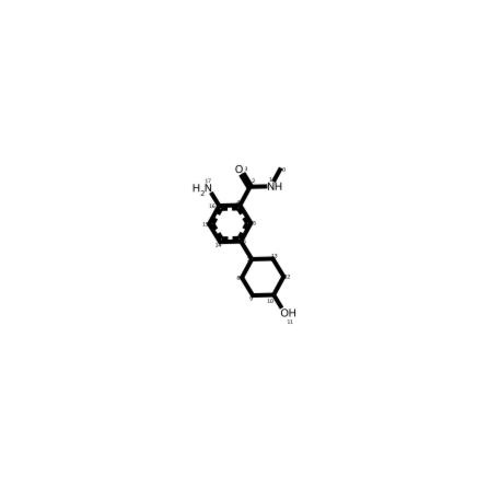 CNC(=O)c1cc(C2CCC(O)CC2)ccc1N